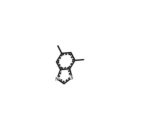 Cc1cc(C)c2scnc2c1